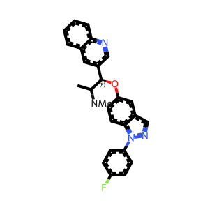 CNC(C)[C@H](Oc1ccc2c(cnn2-c2ccc(F)cc2)c1)c1cnc2ccccc2c1